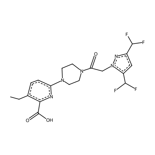 CCc1ccc(N2CCN(C(=O)Cn3nc(C(F)F)cc3C(F)F)CC2)nc1C(=O)O